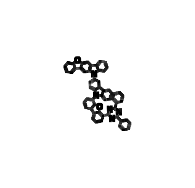 C1=CC2c3cccc(-c4nc(-c5ccccc5)nc(-c5ccccc5)n4)c3OC2C(n2c3ccccc3c3cc(-n4c5ccccc5c5cc6oc7ccccc7c6cc54)ccc32)=C1